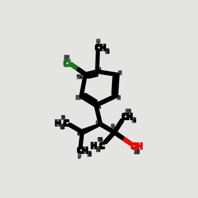 Cc1ccc([C@H](C(C)C)C(C)(C)O)cc1Cl